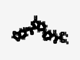 CN(C)C(=O)Nc1cncc(-c2ccc3[nH]nc(C(=O)Nc4ccc5c(c4)OCO5)c3c2)c1